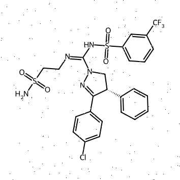 NS(=O)(=O)CCN=C(NS(=O)(=O)c1cccc(C(F)(F)F)c1)N1C[C@H](c2ccccc2)C(c2ccc(Cl)cc2)=N1